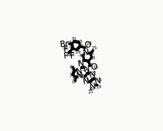 Cc1cc(C)n(-c2nc3c(c(=O)n2-c2cnc4c(ncn4C)n2)CC(C)N(C(=O)c2ccc(Br)c(C(F)(F)F)c2)C3)n1